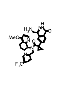 COc1ccnc2c1CCCC2N(Cc1ccc(C(F)(F)F)cn1)C(=O)C1(c2ccc3c(=O)[nH]nc(CN)c3c2)CC1